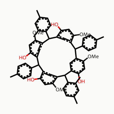 COc1cc(O)c2cc1C(c1ccc(C)cc1)c1cc(c(O)cc1OC)C(c1ccc(C)cc1C)c1cc(c(O)cc1OC)C(c1ccc(C)cc1)c1cc(c(OC)cc1O)C2c1ccc(C)cc1C